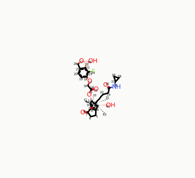 C[C@@H]1CC[C@@]23CCC(=O)C2[C@]1(C)[C@H](OC(=O)COc1ccc2c(c1F)B(O)OC2)C[C@@](C)(CCC(=O)NC1CC1)[C@@H](O)[C@@H]3C